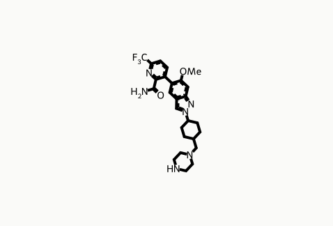 COc1cc2nn(C3CCC(CN4CCNCC4)CC3)cc2cc1-c1ccc(C(F)(F)F)nc1C(N)=O